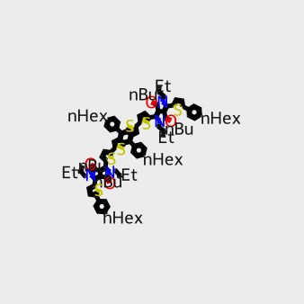 CCCCCCc1ccc(-c2ccc(C3=C4C(=O)N(CC(CC)CCCC)C(c5ccc(-c6cc7c(-c8ccc(CCCCCC)cc8)c8sc(-c9ccc(C%10=C%11C(=O)N(CC(CC)CCCC)C(c%12ccc(-c%13ccc(CCCCCC)cc%13)s%12)=C%11C(=O)N%10CC(CC)CCCC)s9)cc8c(-c8ccc(CCCCCC)cc8)c7s6)s5)=C4C(=O)N3CC(CC)CCCC)s2)cc1